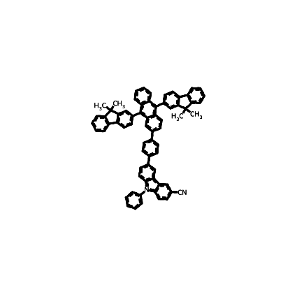 CC1(C)c2ccccc2-c2ccc(-c3c4ccccc4c(-c4ccc5c(c4)C(C)(C)c4ccccc4-5)c4cc(-c5ccc(-c6ccc7c(c6)c6cc(C#N)ccc6n7-c6ccccc6)cc5)ccc34)cc21